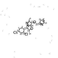 Cc1nn2c(-c3ccc(Cl)cc3Cl)c(C)oc2c1OCc1cscn1